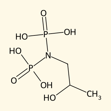 CC(O)CN(P(=O)(O)O)P(=O)(O)O